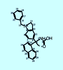 CC(NC(=O)O)(c1ccc2c(c1)CCN2Cc1ccccc1)c1cccc2ccccc12